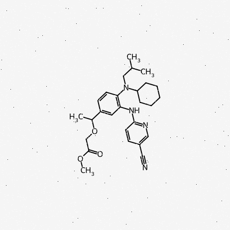 COC(=O)COC(C)c1ccc(N(CC(C)C)C2CCCCC2)c(Nc2ccc(C#N)cn2)c1